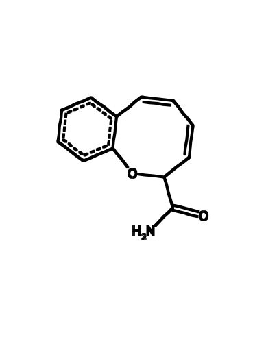 NC(=O)C1/C=C\C=C/c2ccccc2O1